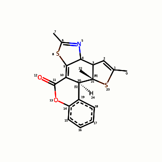 CC1=CC2C3N=C(C)SC3=C3C(=O)Oc4ccccc4[C@@H]3[C@@]2(C)S1